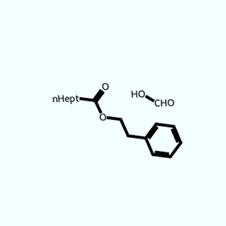 CCCCCCCC(=O)OCCc1ccccc1.O=CO